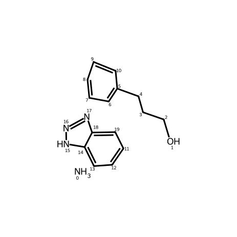 N.OCCCc1ccccc1.c1ccc2[nH]nnc2c1